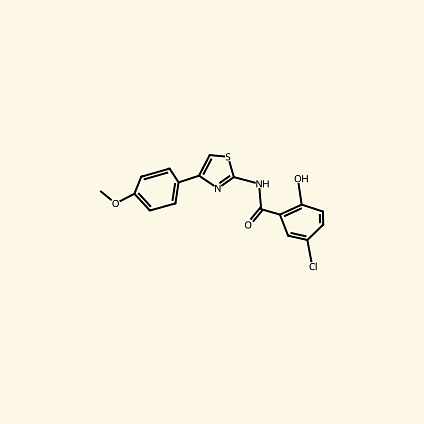 COc1ccc(-c2csc(NC(=O)c3cc(Cl)ccc3O)n2)cc1